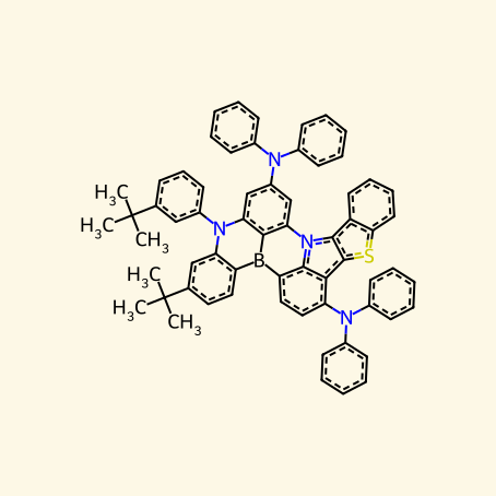 CC(C)(C)c1cccc(N2c3cc(C(C)(C)C)ccc3B3c4c2cc(N(c2ccccc2)c2ccccc2)cc4-n2c4c3ccc(N(c3ccccc3)c3ccccc3)c4c3sc4ccccc4c32)c1